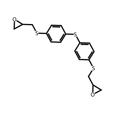 c1cc(Sc2ccc(SCC3CO3)cc2)ccc1SCC1CO1